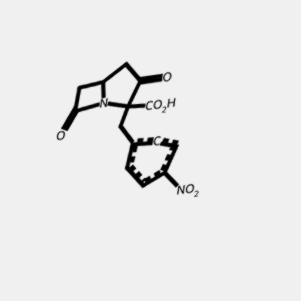 O=C1CC2CC(=O)C(Cc3ccc([N+](=O)[O-])cc3)(C(=O)O)N12